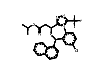 CC(C)OC(=O)CC1SC(c2cccc3ccccc23)c2cc(Cl)ccc2-n2c1nnc2C(F)(F)F